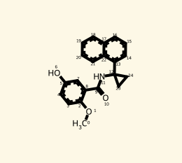 COc1ccc(O)cc1C(=O)NC1(c2cccc3ccccc23)CC1